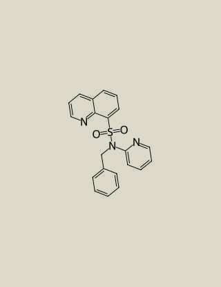 O=S(=O)(c1cccc2cccnc12)N(Cc1ccccc1)c1ccccn1